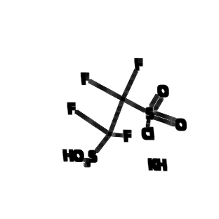 O=S(=O)(O)C(F)(F)C(F)(F)S(=O)(=O)Cl.[KH]